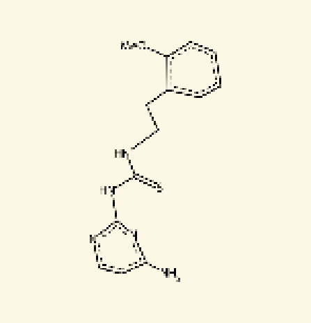 COc1ccccc1CCNC(=S)Nc1nccc(N)n1